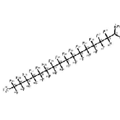 CCCC(F)C(F)(F)C(F)(F)C(F)(F)C(F)(F)C(F)(F)C(F)(F)C(F)(F)C(F)(F)C(F)(F)C(F)(F)C(F)(F)C(F)(F)C(F)(F)C(F)(F)C(F)(F)C(F)(F)F